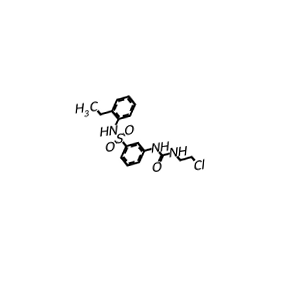 CCc1ccccc1NS(=O)(=O)c1cccc(NC(=O)NCCCl)c1